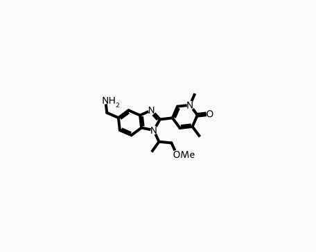 COCC(C)n1c(-c2cc(C)c(=O)n(C)c2)nc2cc(CN)ccc21